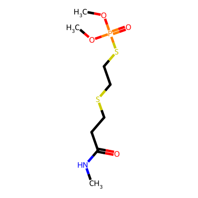 CNC(=O)CCSCCSP(=O)(OC)OC